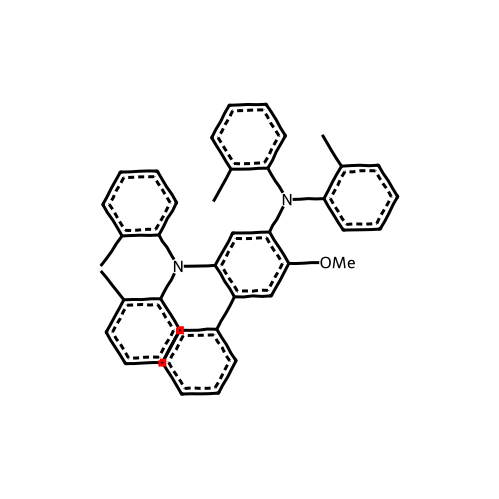 COc1cc(-c2ccccc2)c(N(c2ccccc2C)c2ccccc2C)cc1N(c1ccccc1C)c1ccccc1C